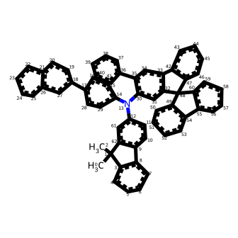 CC1(C)c2ccccc2-c2ccc(N(c3ccc(-c4ccc5ccccc5c4)cc3)c3cc4c(cc3-c3ccccc3)-c3ccccc3C43c4ccccc4-c4ccccc43)cc21